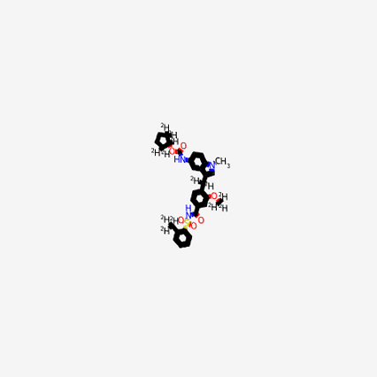 [2H]C([2H])([2H])Oc1cc(C(=O)NS(=O)(=O)c2ccccc2C([2H])([2H])[2H])ccc1C([2H])([2H])c1cn(C)c2ccc(NC(=O)OC3([2H])C([2H])([2H])CCC3([2H])[2H])cc12